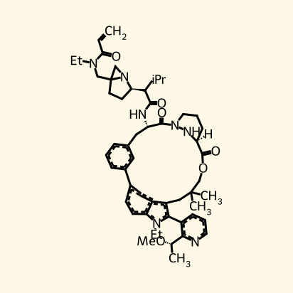 C=CC(=O)N(CC)CC12CC[C@H](C(C(=O)N[C@H]3Cc4cccc(c4)-c4ccc5c(c4)c(c(-c4cccnc4[C@H](C)OC)n5CC)CC(C)(C)COC(=O)[C@@H]4CCCN(N4)C3=O)C(C)C)N1C2